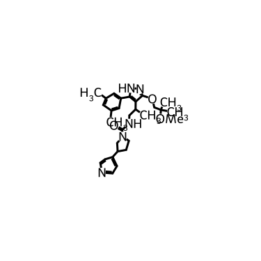 COC(C)(C)COc1n[nH]c(-c2cc(C)cc(C)c2)c1C(C)CNC(=O)N1CCC(c2ccncc2)C1